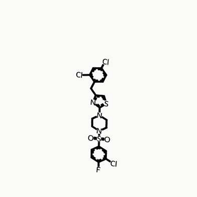 O=S(=O)(c1ccc(F)c(Cl)c1)N1CCN(c2nc(Cc3ccc(Cl)cc3Cl)cs2)CC1